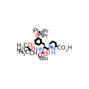 CC(C)[Si](Oc1cc(C[C@H](NC(=O)OC(C)(C)C)C(=O)N2CCC[C@@H](C(=O)O)N2)cc(B2OC(C)(C)C(C)(C)O2)c1)(C(C)C)C(C)C